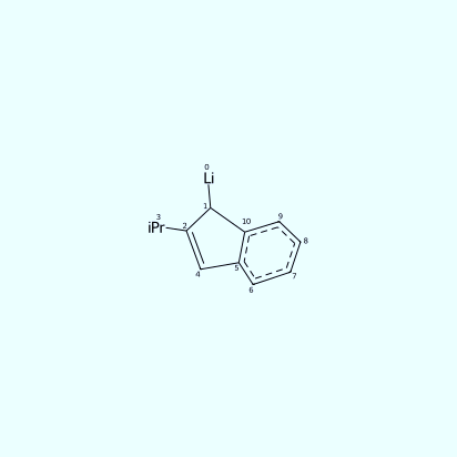 [Li][CH]1C(C(C)C)=Cc2ccccc21